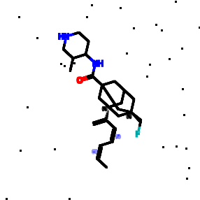 C=C(/C=C\C=C/C)[C@]12CC3CC(C(=O)NC4CCNCC4C)(C[C@](CF)(C3)C1)C2